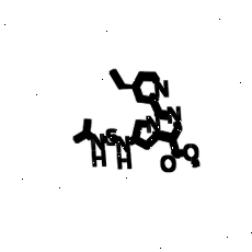 CC[C@H]1C=CN=C(C2=NCC(C(=O)OC)=C3CC(NSNC(C)C)CN23)C1